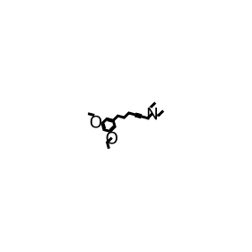 CCOc1cc(CCCC#CCN(CC)CC)cc(OCC)c1